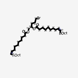 CCCCCCCC/C=C\CCCCCCCC(=O)OC[C@@H](CCCBr)OC(=O)CCCCCCC/C=C\CCCCCCCC